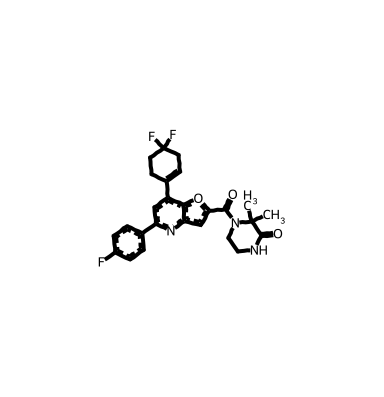 CC1(C)C(=O)NCCN1C(=O)c1cc2nc(-c3ccc(F)cc3)cc(C3=CCC(F)(F)CC3)c2o1